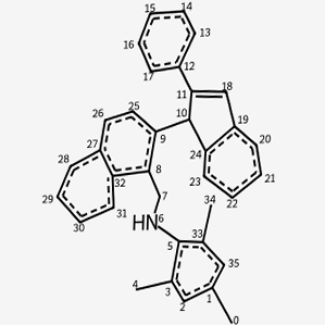 Cc1cc(C)c(NCc2c(C3C(c4ccccc4)=Cc4ccccc43)ccc3ccccc23)c(C)c1